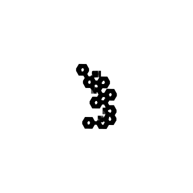 Sc1c(-c2ccccc2)ccc2nc(-c3c4ccccc4c(-c4ccc5ccc6ccc(-c7ccccc7)nc6c5n4)c4ccccc34)c3ccccc3c12